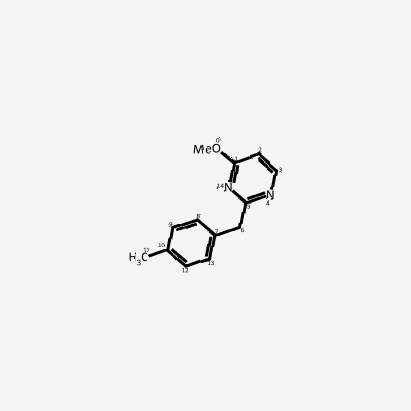 COc1ccnc(Cc2ccc(C)cc2)n1